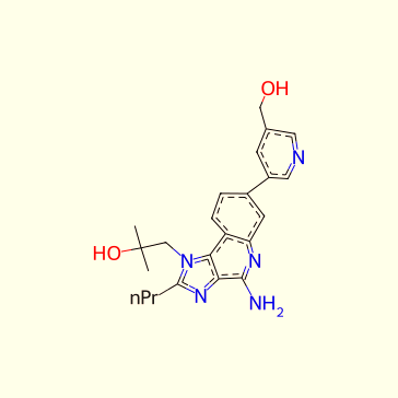 CCCc1nc2c(N)nc3cc(-c4cncc(CO)c4)ccc3c2n1CC(C)(C)O